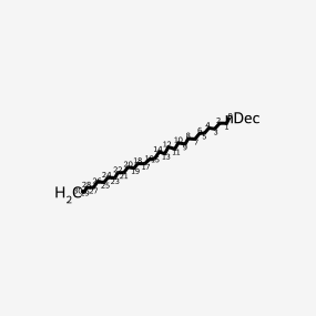 [CH2]CCCCCCCCCCCCCCCCCCCCCCCCCCCCCCCCCCCCCC=C